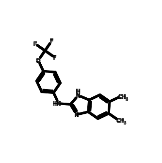 Cc1cc2nc(Nc3ccc(OC(F)(F)F)cc3)[nH]c2cc1C